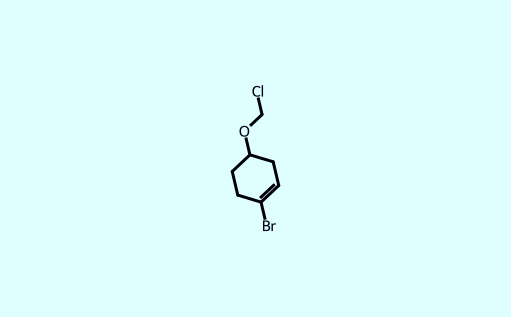 ClCOC1CC=C(Br)CC1